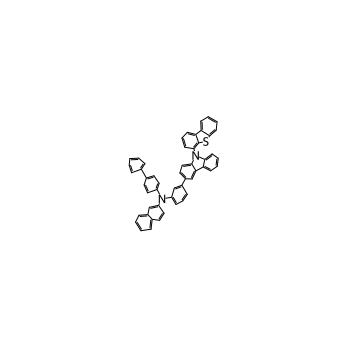 c1ccc(-c2ccc(N(c3cccc(-c4ccc5c(c4)c4ccccc4n5-c4cccc5c4sc4ccccc45)c3)c3ccc4ccccc4c3)cc2)cc1